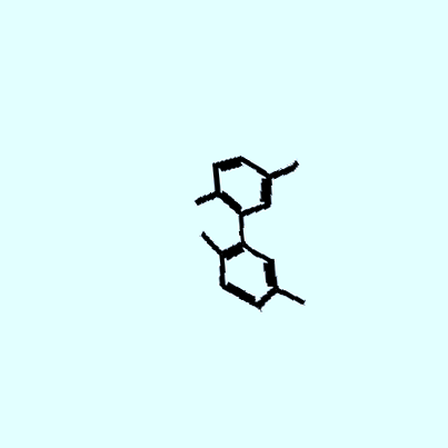 Cc1[c]cc(C)c(-c2cc(C)ccc2C)c1